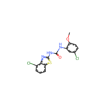 COc1ccc(Cl)cc1NC(=O)Nc1nc2c(Cl)cccc2s1